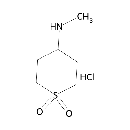 CNC1CCS(=O)(=O)CC1.Cl